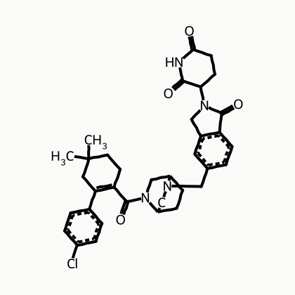 CC1(C)CCC(C(=O)N2CC3CCC2CN3Cc2ccc3c(c2)CN(C2CCC(=O)NC2=O)C3=O)=C(c2ccc(Cl)cc2)C1